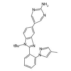 Cc1cnn(-c2ccccc2-c2nc3cc(-c4cnc(N)nc4)ccc3n2C(C)(C)C)c1